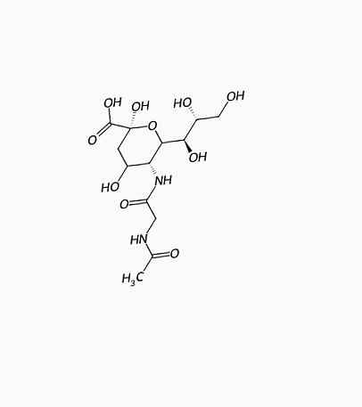 CC(=O)NCC(=O)N[C@@H]1C(O)C[C@@](O)(C(=O)O)OC1[C@H](O)[C@H](O)CO